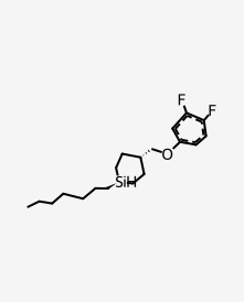 CCCCCCC[Si@H]1CC[C@H](COc2ccc(F)c(F)c2)CC1